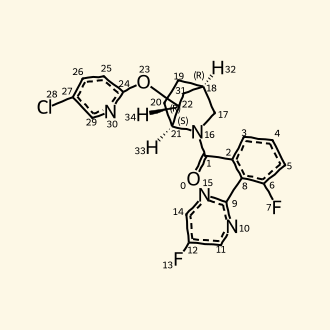 O=C(c1cccc(F)c1-c1ncc(F)cn1)N1C[C@@H]2CC[C@H]1[C@H](Oc1ccc(Cl)cn1)C2